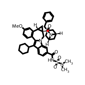 COc1ccc2c(c1)[C@@H]1C[C@]1(C(=O)N1[C@@H]3C[C@H]1CN(Cc1ccccc1)C3)Cn1c-2c(C2CCCCC2)c2ccc(C(=O)NS(=O)(=O)N(C)C)cc21